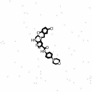 O=C(Nc1ccc(N2CCOCC2)cc1)c1cc2c(nn1)NCCN2Cc1cc(Cl)ccc1Cl